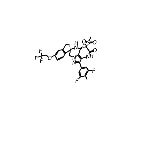 Cc1c(F)cc(-c2nn3c(c2NC(=O)CS(C)(=O)=O)C(=O)N[C@@]2(CCc4cc(OCC(F)(F)F)ccc42)C3)cc1F